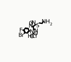 Cl.NCCSc1nonc1-c1noc(=O)n1-c1ccc(F)c(Br)c1